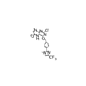 Cn1cc(C(F)(F)F)nc1-c1ccc(COc2nc(Cl)nc3ncc(=O)[nH]c23)cc1